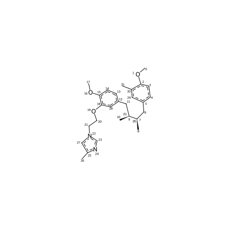 COc1ccc(C[C@@H](C)[C@@H](C)Cc2ccc(OC)c(OCCn3cnc(C)c3)c2)cc1C